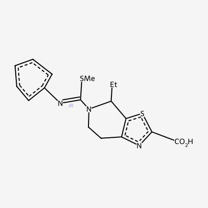 CCC1c2sc(C(=O)O)nc2CCN1/C(=N/c1ccccc1)SC